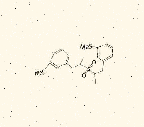 CSc1cccc(CC(C)S(=O)(=O)C(C)Cc2cccc(SC)c2)c1